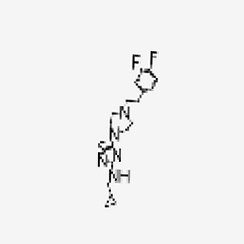 Fc1ccc(CCN2CCN(c3nc(NCC4CC4)ns3)CC2)cc1F